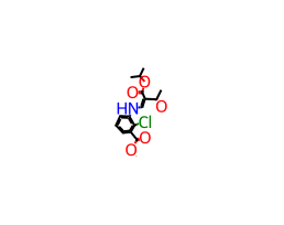 COC(=O)c1cccc(NC=C(C(C)=O)C(=O)OC(C)C)c1Cl